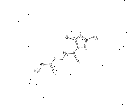 CNC(=O)CCNC(=O)c1nc(C)sc1Cl